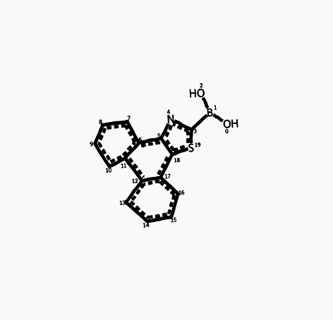 OB(O)c1nc2c3ccccc3c3ccccc3c2s1